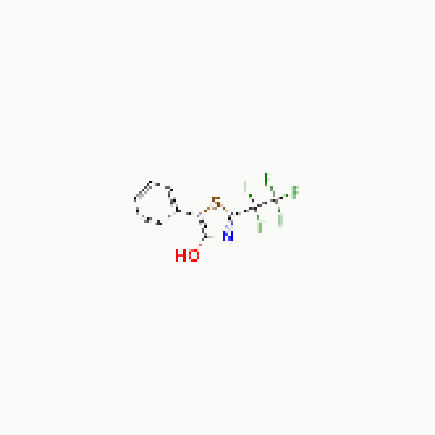 Oc1nc(C(F)(F)C(F)(F)F)sc1-c1ccccc1